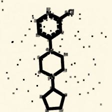 Clc1cc(N2CCN(C3CCCC3)CC2)ccn1